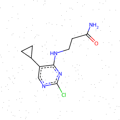 NC(=O)CCNc1nc(Cl)ncc1C1CC1